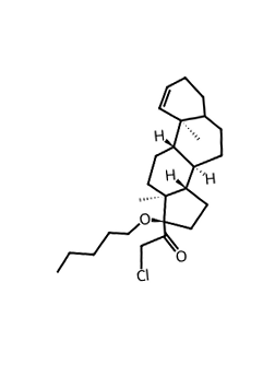 CCCCCO[C@]1(C(=O)CCl)CC[C@H]2[C@@H]3CCC4CCC=C[C@]4(C)[C@H]3CC[C@@]21C